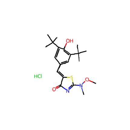 CON(C)C1=NC(=O)/C(=C/c2cc(C(C)(C)C)c(O)c(C(C)(C)C)c2)S1.Cl